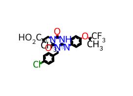 CC(Oc1ccc(/N=c2\[nH]c(=O)n(C[C@H](C)C(=O)O)c(=O)n2Cc2ccc(Cl)cc2)cc1)C(F)(F)F